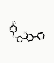 Nc1cc(-c2ccccc2)ccc1N1CC[C@H](Oc2ccc(C(F)(F)F)cn2)C1